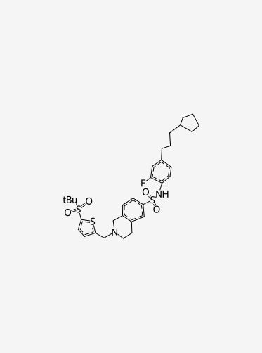 CC(C)(C)S(=O)(=O)c1ccc(CN2CCc3cc(S(=O)(=O)Nc4ccc(CCCC5CCCC5)cc4F)ccc3C2)s1